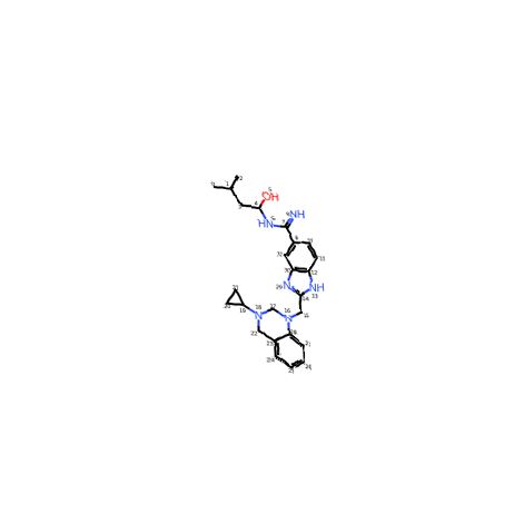 CC(C)CC(O)NC(=N)c1ccc2[nH]c(CN3CN(C4CC4)Cc4ccccc43)nc2c1